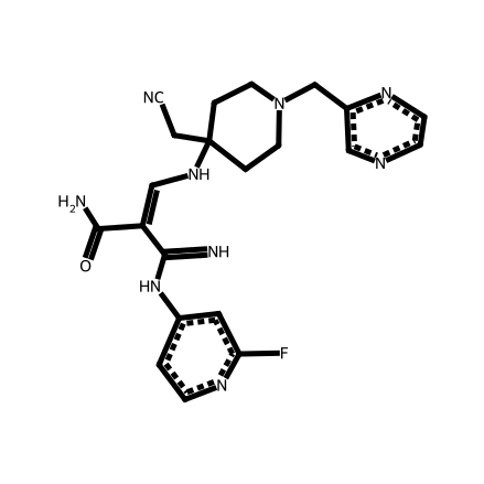 N#CCC1(N/C=C(\C(=N)Nc2ccnc(F)c2)C(N)=O)CCN(Cc2cnccn2)CC1